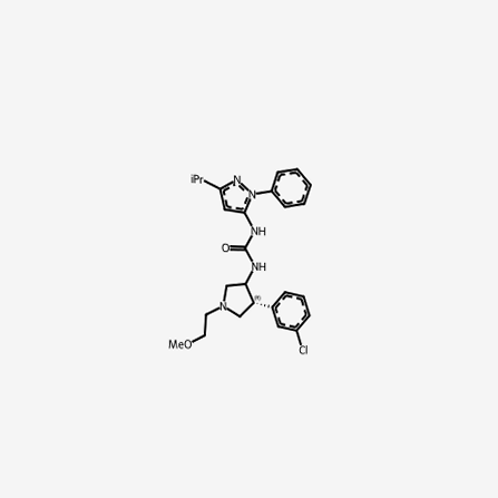 COCCN1CC(NC(=O)Nc2cc(C(C)C)nn2-c2ccccc2)[C@H](c2cccc(Cl)c2)C1